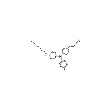 CCCCCCOc1ccc(N(c2ccc(C)cc2)c2ccc(/C=C/C#N)cc2)cc1